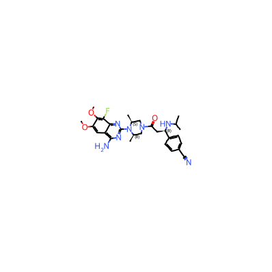 COc1cc2c(N)nc(N3[C@H](C)CN(C(=O)C[C@@H](NC(C)C)c4ccc(C#N)cc4)C[C@@H]3C)nc2c(F)c1OC